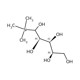 C[Si](C)(C)C(O)[C@H](O)[C@@H](O)[C@H](O)CO